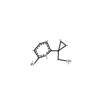 CC(C)c1cccc(C2(CO)CC2)n1